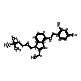 C[Si](C)(C)CCOCn1c(CO)nc2c(OCc3ccc(F)cc3F)cccc21